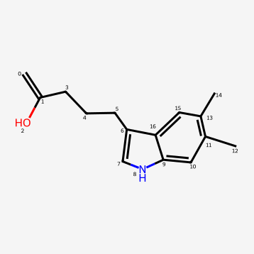 C=C(O)CCCc1c[nH]c2cc(C)c(C)cc12